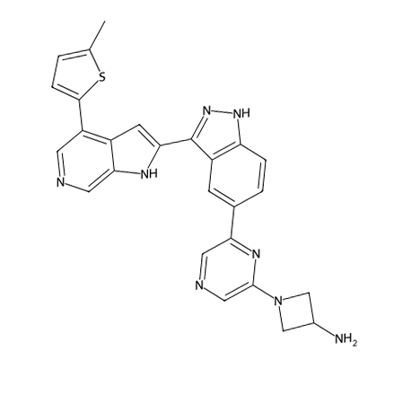 Cc1ccc(-c2cncc3[nH]c(-c4n[nH]c5ccc(-c6cncc(N7CC(N)C7)n6)cc45)cc23)s1